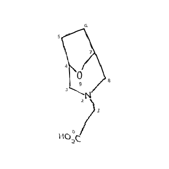 O=C(O)CN1CC2CCC(C1)O2